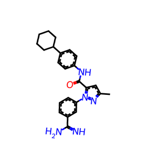 Cc1cc(C(=O)Nc2ccc(C3CCCCC3)cc2)n(-c2cccc(C(=N)N)c2)n1